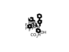 O=C(O)c1ccc(N(Cc2ccc(C3CCCCC3)cc2)C(=O)CN(Cc2ccncc2)S(=O)(=O)c2c(F)c(F)c(F)c(F)c2F)cc1O